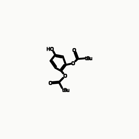 CC(C)(C)C(=O)Oc1ccc(O)cc1OC(=O)C(C)(C)C